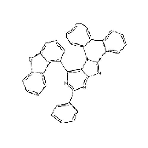 c1ccc(-c2nc(-c3cccc4oc5ccccc5c34)c3c(n2)nc2c4ccccc4c4ccccc4n23)cc1